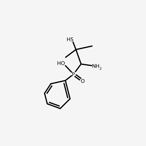 CC(C)(S)C(N)P(=O)(O)c1ccccc1